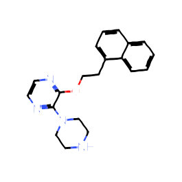 c1ccc2c(CCOc3nccnc3N3CCNCC3)cccc2c1